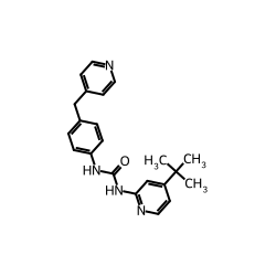 CC(C)(C)c1ccnc(NC(=O)Nc2ccc(Cc3ccncc3)cc2)c1